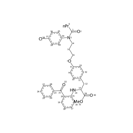 CCCC(=O)N(CCCOc1ccc(CC(Nc2ccccc2C(=O)c2ccccc2)C(=O)OC)cc1)c1ccc(Cl)cc1